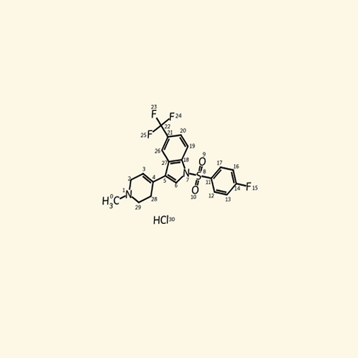 CN1CC=C(c2cn(S(=O)(=O)c3ccc(F)cc3)c3ccc(C(F)(F)F)cc23)CC1.Cl